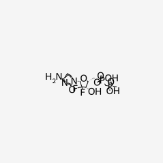 CP(=O)(O)CP(=O)(O)OC[C@H]1O[C@@H](n2ccc(N)nc2=O)C(F)(F)[C@H]1O